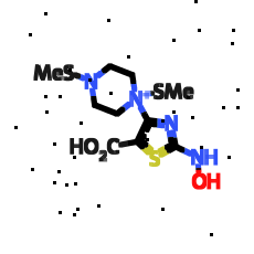 CSN1CC[N+](SC)(c2nc(NO)sc2C(=O)O)CC1